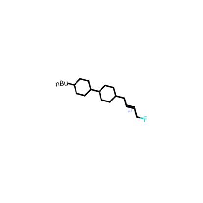 CCCCC1CCC(C2CCC(C/C=C/CF)CC2)CC1